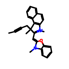 CC#CCC1(C)C(/C=C2\Oc3ccccc3N2C)=[N+](C)c2ccc3ccccc3c21